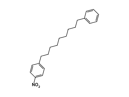 O=[N+]([O-])c1ccc(CCCCCCCCCc2ccccc2)cc1